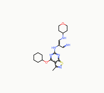 Cc1nsc2nc(N/C(C=N)=C/NC3CCOCC3)nc(OC3CCCCC3)c12